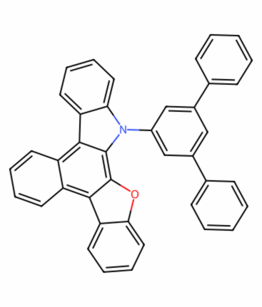 c1ccc(-c2cc(-c3ccccc3)cc(-n3c4ccccc4c4c5ccccc5c5c6ccccc6oc5c43)c2)cc1